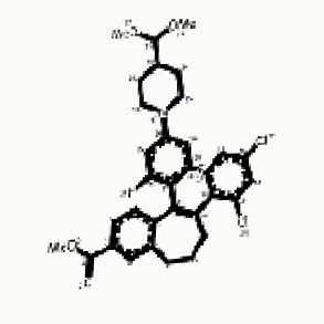 COC(=O)c1ccc2c(c1)CCCC(c1ccc(Cl)cc1Cl)=C2c1c(F)cc(N2CCC(C(OC)OC)CC2)cc1F